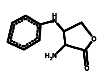 NC1C(=O)OCC1Nc1ccccc1